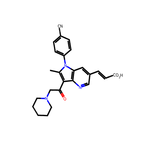 Cc1c(C(=O)CN2CCCCC2)c2ncc(C=CC(=O)O)cc2n1-c1ccc(C#N)cc1